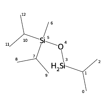 CC(C)[SiH2]O[Si](C)(C(C)C)C(C)C